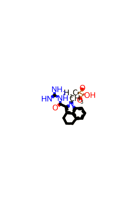 CS(=O)(=O)O.Cn1c(C(=O)NC(=N)N)c2c3c(cccc31)CCC2